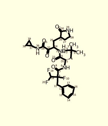 CC(C)(C)C[C@H](NC(=O)C(F)(Cc1ccccc1)C(F)F)C(=O)NC(CC1CCNC1=O)C(=O)C(=O)NC1CC1